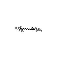 C=C(C)C(=O)NCCCCCCCCCCCC[Si](C)(OC)OC